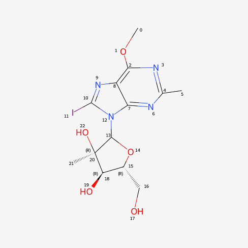 COc1nc(C)nc2c1nc(I)n2C1O[C@H](CO)[C@@H](O)[C@@]1(C)O